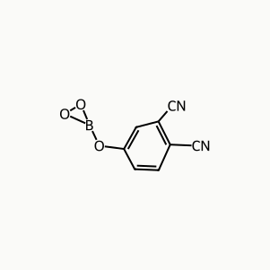 N#Cc1ccc(OB2OO2)cc1C#N